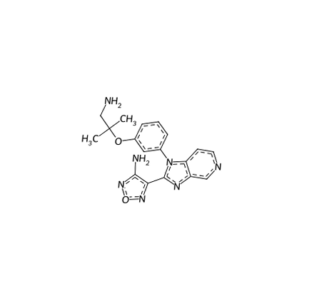 CC(C)(CN)Oc1cccc(-n2c(-c3nonc3N)nc3cnccc32)c1